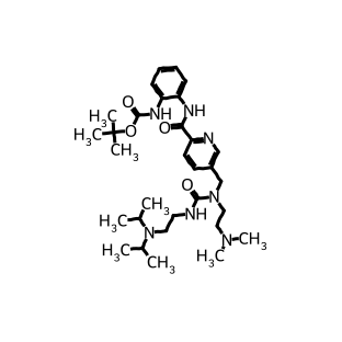 CC(C)N(CCNC(=O)N(CCN(C)C)Cc1ccc(C(=O)Nc2ccccc2NC(=O)OC(C)(C)C)nc1)C(C)C